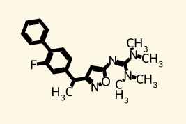 CC(c1ccc(-c2ccccc2)c(F)c1)c1cc(N=C(N(C)C)N(C)C)on1